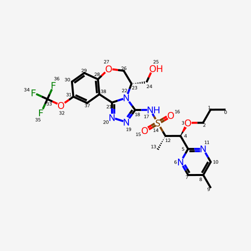 CCCO[C@@H](c1ncc(C)cn1)[C@H](C)S(=O)(=O)Nc1nnc2n1[C@@H](CO)COc1ccc(OC(F)(F)F)cc1-2